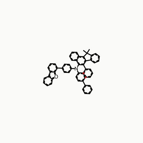 CC1(C)c2ccccc2-c2c(-c3ccccc3)c(N(c3ccc(-c4ccccc4)cc3)c3ccc(-c4cccc5c4oc4ccccc45)cc3)c3ccccc3c21